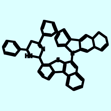 C1=CC2C=c3c(c4ccccc4n3-c3cc4ccccc4c4c3sc3c(C5N=C(c6ccccc6)CC(c6ccccc6)N5)cccc34)=CC2CC1